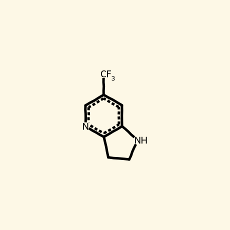 FC(F)(F)c1cnc2c(c1)NCC2